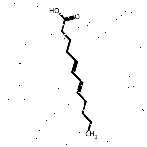 CCCC/C=C/C=C/CCCC(=O)O